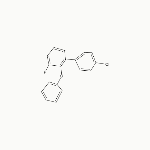 Fc1cc[c]c(-c2ccc(Cl)cc2)c1Oc1ccccc1